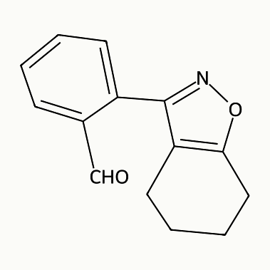 O=Cc1ccccc1-c1noc2c1CCCC2